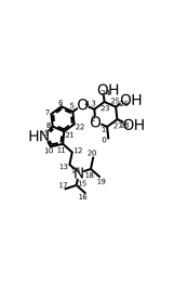 CC1OC(Oc2ccc3[nH]cc(CCN(C(C)C)C(C)C)c3c2)C(O)C(O)C1O